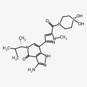 CC(C)[C@H](C)n1cc(-c2cc(C(=O)N3CCS(O)(O)CC3)n(C)n2)c2[nH]nc(N)c2c1=O